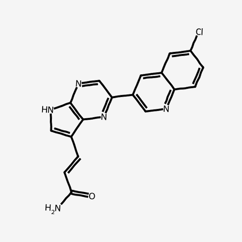 NC(=O)C=Cc1c[nH]c2ncc(-c3cnc4ccc(Cl)cc4c3)nc12